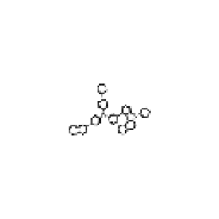 c1ccc(-c2ccc(N(c3ccc(-c4ccc5ccccc5c4)cc3)c3cccc(-c4cccc5c4c4c6ccccc6ccc4n5-c4ccccc4)c3)cc2)cc1